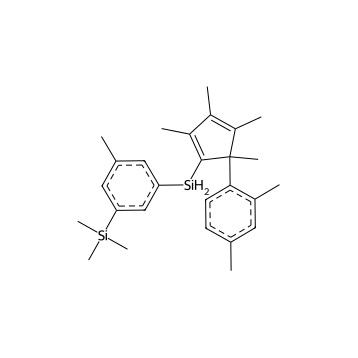 CC1=C(C)C(C)(c2ccc(C)cc2C)C([SiH2]c2cc(C)cc([Si](C)(C)C)c2)=C1C